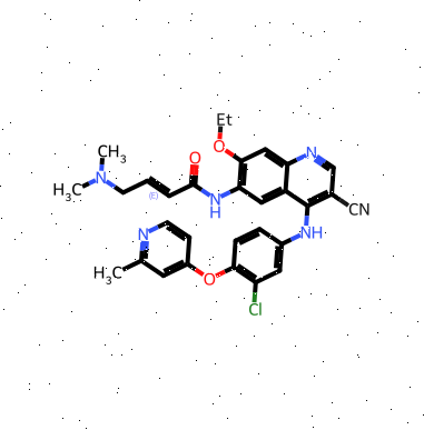 CCOc1cc2ncc(C#N)c(Nc3ccc(Oc4ccnc(C)c4)c(Cl)c3)c2cc1NC(=O)/C=C/CN(C)C